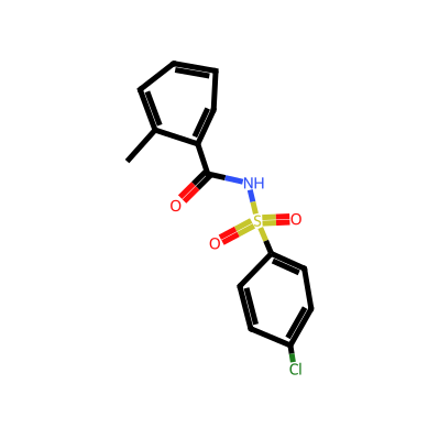 Cc1ccccc1C(=O)NS(=O)(=O)c1ccc(Cl)cc1